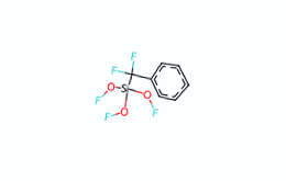 FO[Si](OF)(OF)C(F)(F)c1ccccc1